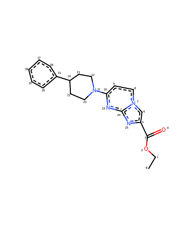 CCOC(=O)c1cn2ccc(N3CCC(c4ccccc4)CC3)nc2n1